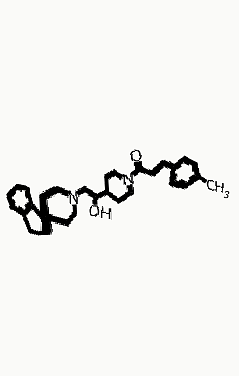 Cc1ccc(/C=C/C(=O)N2CCC(C(O)CN3CCC4(CCc5ccccc54)CC3)CC2)cc1